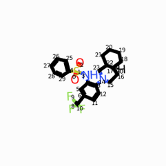 O=S(=O)(Nc1cc(C(F)(F)F)ccc1N1CC[C@@H]2CCCCC2C1)c1ccccc1